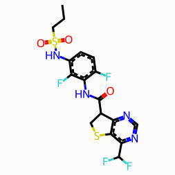 CCCS(=O)(=O)Nc1ccc(F)c(NC(=O)C2CSc3c(C(F)F)ncnc32)c1F